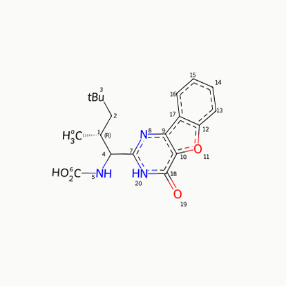 C[C@H](CC(C)(C)C)C(NC(=O)O)c1nc2c(oc3ccccc32)c(=O)[nH]1